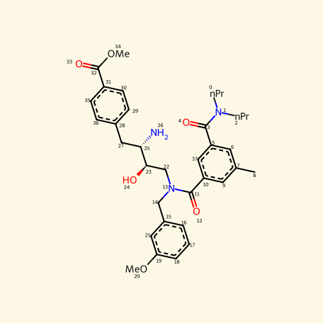 CCCN(CCC)C(=O)c1cc(C)cc(C(=O)N(Cc2cccc(OC)c2)C[C@@H](O)[C@@H](N)Cc2ccc(C(=O)OC)cc2)c1